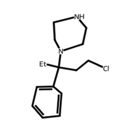 CCC(CCCl)(c1ccccc1)N1CCNCC1